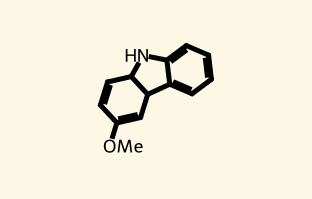 COC1=CC2c3ccccc3NC2C=C1